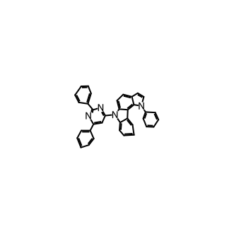 c1ccc(-c2cc(-n3c4ccccc4c4c5c(ccc43)ccn5-c3ccccc3)nc(-c3ccccc3)n2)cc1